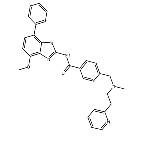 COc1ccc(-c2ccccc2)c2sc(NC(=O)c3ccc(CN(C)CCc4ccccn4)cc3)nc12